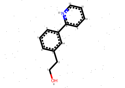 OCCc1cccc(-c2ccccn2)c1